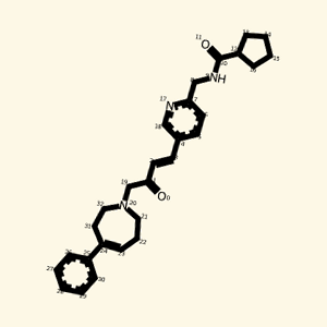 O=C(/C=C/c1ccc(CNC(=O)C2CCCC2)nc1)CN1CCC=C(c2ccccc2)CC1